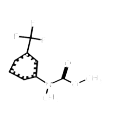 COC(=O)N(C)c1cccc(C(F)(F)F)c1